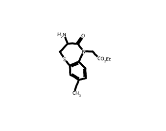 CCOC(=O)CN1C(=O)C(N)CSc2cc(C)ccc21